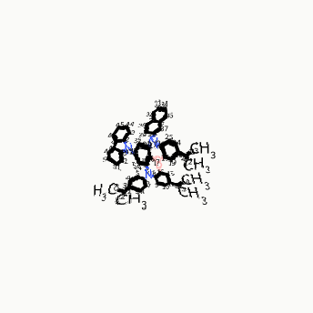 CC(C)c1ccc(N2c3ccc(C(C)C)cc3B3c4cc(C(C)C)ccc4N(c4ccc5ccccc5c4)c4cc(-n5c6ccccc6c6ccccc65)cc2c43)cc1